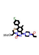 C=CC(=O)N1CCN(c2nc(=O)n3c4c(c(-c5ccc(F)cc5)c(C)cc24)SCC3COC)CC1